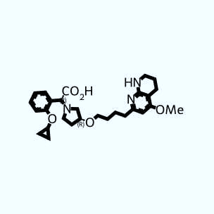 COc1cc(CCCCO[C@@H]2CCN([C@@H](C(=O)O)c3ccccc3OC3CC3)C2)nc2c1CCCN2